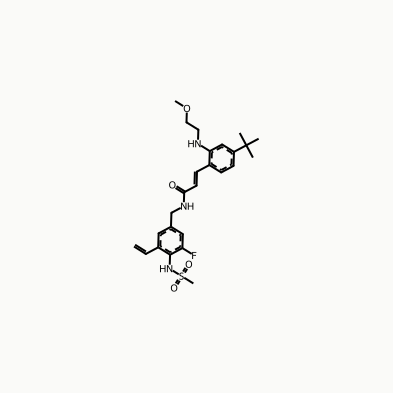 C=Cc1cc(CNC(=O)/C=C/c2ccc(C(C)(C)C)cc2NCCOC)cc(F)c1NS(C)(=O)=O